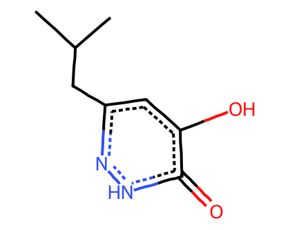 CC(C)Cc1cc(O)c(=O)[nH]n1